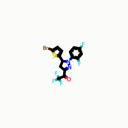 O=C(C1=NN(c2ccc(F)cc2F)C(c2ccc(Br)s2)C1)C(F)(F)F